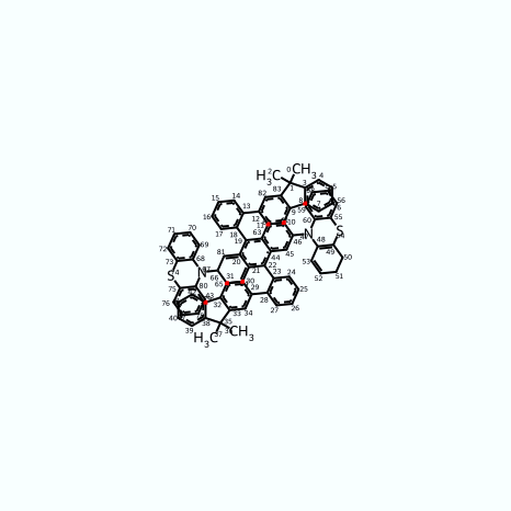 CC1(C)c2ccccc2-c2ccc(-c3ccccc3-c3c4c(c(-c5ccccc5-c5ccc6c(c5)C(C)(C)c5ccccc5-6)c5cc(N6C7=C(CCC=C7)Sc7ccccc76)ccc35)=CCC(N3c5ccccc5Sc5ccccc53)C=4)cc21